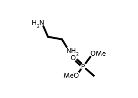 COP(C)(=O)OC.NCCN